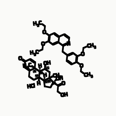 CCOc1ccc(Cc2nccc3cc(OCC)c(OCC)cc23)cc1OCC.C[C@]12C=CC(=O)C=C1CC[C@@H]1[C@@H]2[C@@H](O)C[C@@]2(C)[C@H]1CC[C@]2(O)C(=O)CO.Cl